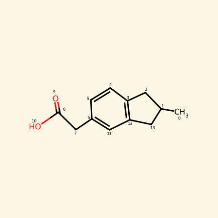 CC1Cc2ccc(CC(=O)O)cc2C1